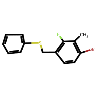 Cc1c(Br)ccc(CSc2ccccc2)c1F